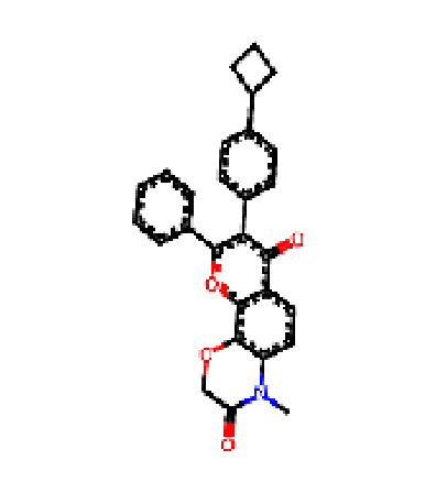 CN1C(=O)COc2c1ccc1c(=O)c(-c3ccc([C]4CCC4)cc3)c(-c3ccccc3)oc21